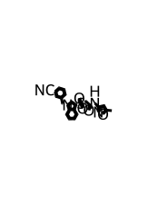 Cc1cc(NC(=O)CS(=O)(=O)c2cn(Cc3cccc(C#N)c3)c3ccccc23)no1